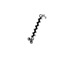 CCCCCCCCCCCCC[O][V](=[O])=[O]